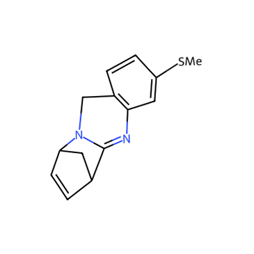 CSc1ccc2c(c1)N=C1C3C=CC(C3)N1C2